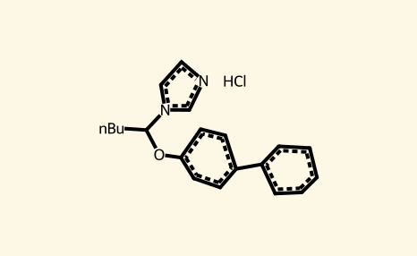 CCCCC(Oc1ccc(-c2ccccc2)cc1)n1ccnc1.Cl